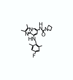 Cc1cc(F)cc(C)c1CNc1cc(NC(=O)N2CCC2)cn2c(C)c(C)nc12